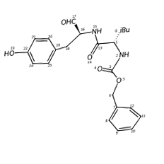 CCC(C)[C@H](NC(=O)OCc1ccccc1)C(=O)N[C@H](C=O)Cc1ccc(O)cc1